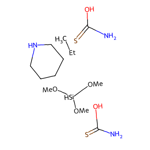 C1CCNCC1.CCC.CO[SiH](OC)OC.NC(O)=S.NC(O)=S